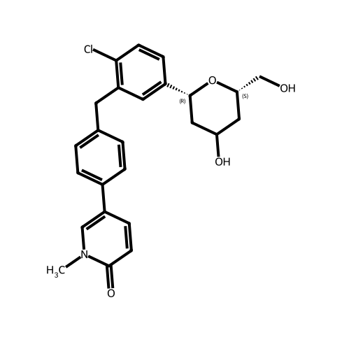 Cn1cc(-c2ccc(Cc3cc([C@H]4CC(O)C[C@@H](CO)O4)ccc3Cl)cc2)ccc1=O